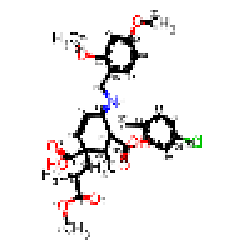 COC(=O)C(C)CC1(C(=O)O)C=CC(=NCc2ccc(OC)cc2OC)[C@@](Cc2ccc(Cl)cc2)(C(=O)O)C1C